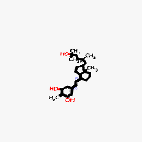 C=C1C(O)C/C(=C\C=C2/CCCC3(C)C(C[C@H](C)CCC(C)(C)O)CCC23)C[C@H]1O